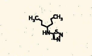 CCCC(CCC)Nc1[c]nns1